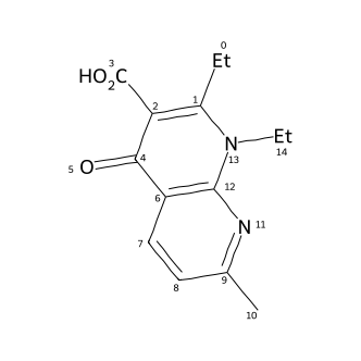 CCc1c(C(=O)O)c(=O)c2ccc(C)nc2n1CC